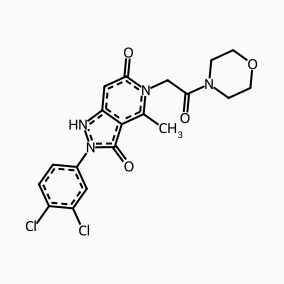 Cc1c2c(=O)n(-c3ccc(Cl)c(Cl)c3)[nH]c2cc(=O)n1CC(=O)N1CCOCC1